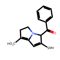 CSC1=CC2=C(C(=O)O)CCN2C1C(=O)c1ccccc1